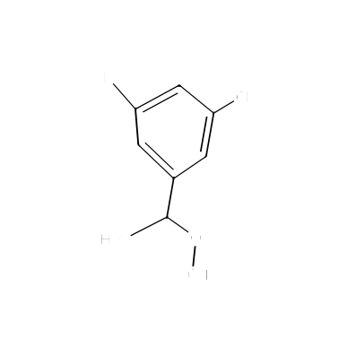 [CH2]C(OC)c1cc(F)cc(Cl)c1